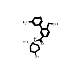 CC[C@H]1CC[C@@](NC(=O)c2ccc(CO)c(-c3cccc(C(F)(F)F)c3)c2)(C(=O)O)CC1